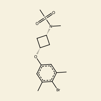 Cc1cc(O[C@H]2C[C@@H](N(C)S(C)(=O)=O)C2)cc(C)c1Br